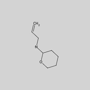 C=CC[N]C1CCCCO1